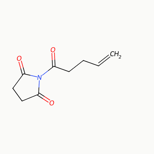 C=CCCC(=O)N1C(=O)CCC1=O